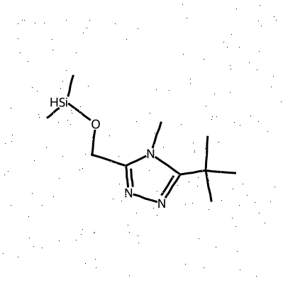 Cn1c(CO[SiH](C)C)nnc1C(C)(C)C